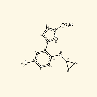 CCOC(=O)c1ncc(-c2cc(C(F)(F)F)ccc2OC2CC2)o1